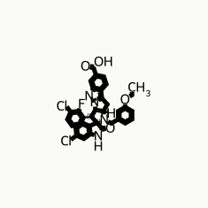 CCOc1cccc(CN2[C@H]3Cc4c5ccc(C(=O)O)cc5nn4C3[C@H](c3cccc(Cl)c3F)[C@]23C(=O)Nc2cc(Cl)ccc23)c1